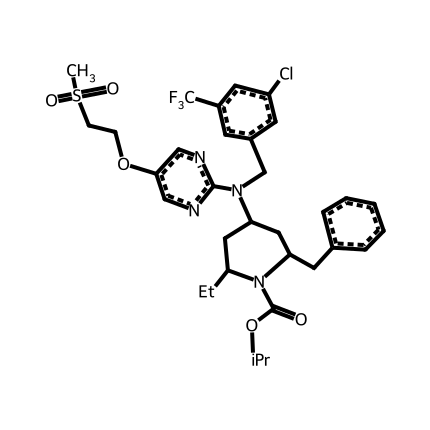 CCC1CC(N(Cc2cc(Cl)cc(C(F)(F)F)c2)c2ncc(OCCS(C)(=O)=O)cn2)CC(Cc2ccccc2)N1C(=O)OC(C)C